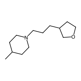 CC1CCN(CCCC2CCOC2)CC1